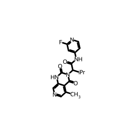 Cc1cncc2[nH]c(=O)n(C(C(=O)Nc3ccnc(F)c3)C(C)C)c(=O)c12